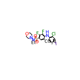 CCN(N1CCOCC1)S(=O)(=O)c1cc(C(=O)O)c(Nc2ccc(I)cc2Cl)c(F)c1F